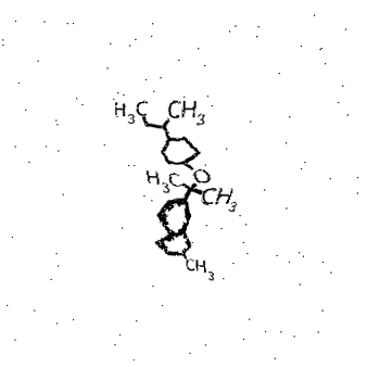 CCC(C)C1CCC(OC(C)(C)c2ccc3ccc(C)cc3c2)CC1